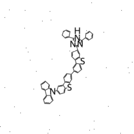 C1=CC(C2=NC(c3ccc4c(c3)sc3ccc(-c5ccc6c(c5)sc5ccc(-n7c8ccccc8c8ccccc87)cc56)cc34)=NC(c3ccccc3)N2)=CCC1